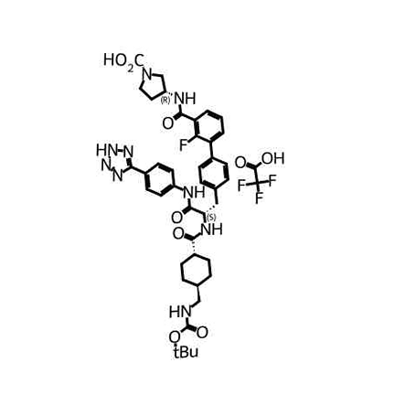 CC(C)(C)OC(=O)NC[C@H]1CC[C@H](C(=O)N[C@@H](Cc2ccc(-c3cccc(C(=O)N[C@@H]4CCN(C(=O)O)C4)c3F)cc2)C(=O)Nc2ccc(-c3nn[nH]n3)cc2)CC1.O=C(O)C(F)(F)F